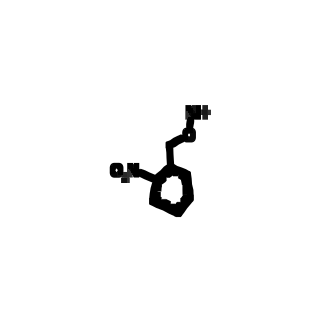 [NH]OCc1ccccc1[N+](=O)[O-]